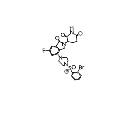 O=C1CCC(N2Cc3c(cc(F)cc3N3CCN(S(=O)(=O)c4ccccc4Br)CC3)C2=O)C(=O)N1